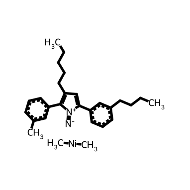 CCCCCC1=C(c2cccc(C)c2)[N+](=[N-])C(c2cccc(CCCC)c2)=C1.[CH3][Ni][CH3]